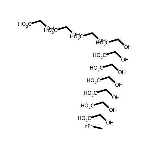 O=C(O)CO.O=C(O)CO.O=C(O)CO.O=C(O)CO.O=C(O)CO.O=C(O)CO.O=C(O)CO.O=C(O)CO.O=C(O)CO.O=C(O)CO.[CH2]CCC